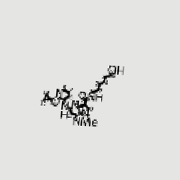 CNc1cc(Nc2cccnc2OC2CC2)nc2c(C(=O)NCCCCCCO)cnn12